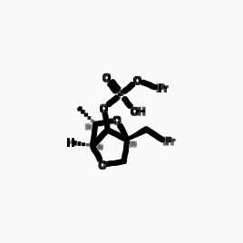 CC(C)C[C@@]12CO[C@H](C1OP(=O)(O)OC(C)C)[C@H](C)O2